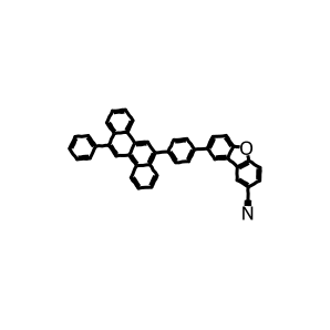 N#Cc1ccc2oc3ccc(-c4ccc(-c5cc6c7ccccc7c(-c7ccccc7)cc6c6ccccc56)cc4)cc3c2c1